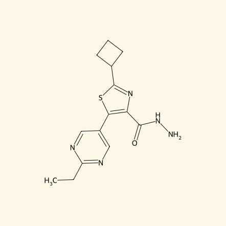 CCc1ncc(-c2sc(C3CCC3)nc2C(=O)NN)cn1